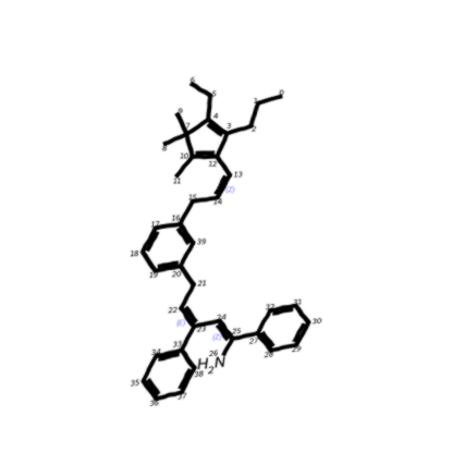 CCCC1=C(CC)C(C)(C)C(C)=C1/C=C\Cc1cccc(C/C=C(\C=C(/N)c2ccccc2)c2ccccc2)c1